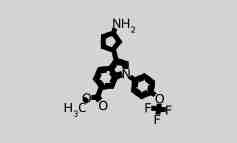 COC(=O)c1ccc2c(C3CCC(N)C3)cn(-c3ccc(OC(F)(F)F)cc3)c2c1